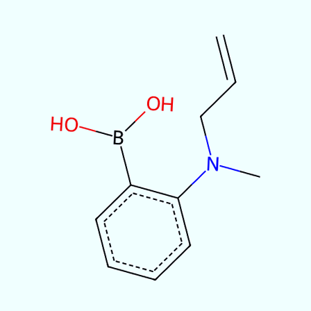 C=CCN(C)c1ccccc1B(O)O